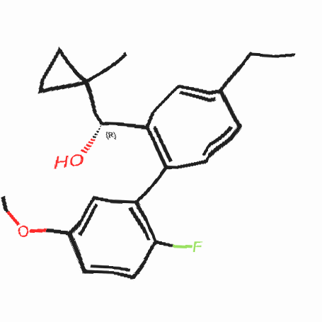 CCc1ccc(-c2cc(OC)ccc2F)c([C@H](O)C2(C)CC2)c1